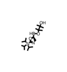 CC(C)[Si](c1ncc(BOC(C)(C)C(C)(C)O)o1)(C(C)C)C(C)C